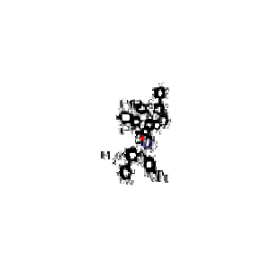 C/C=C(\C=C/C1=CC(c2ccc3c(c2)CCC=C3)(C(C)C(C)C)c2cc(N(c3ccc(C(C)C)cc3)C3CC=CC(c4ccccc4)=C3C)c3c(c21)CC1C=CCCC31)N(c1ccc(C(C)C)cc1)c1ccc(C)c(-c2ccccc2)c1